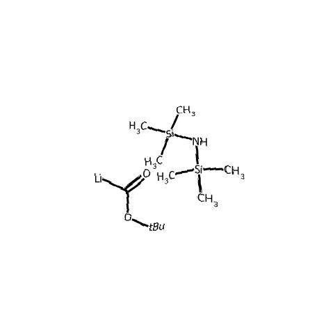 C[Si](C)(C)N[Si](C)(C)C.[Li][C](=O)OC(C)(C)C